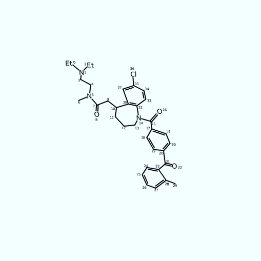 CCN(CC)CCN(C)C(=O)CC1CCCN(C(=O)c2ccc(C(=O)c3ccccc3C)cc2)c2ccc(Cl)cc21